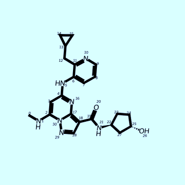 CNc1cc(Nc2cccnc2CC2CC2)nc2c(C(=O)N[C@H]3CC[C@H](O)C3)cnn12